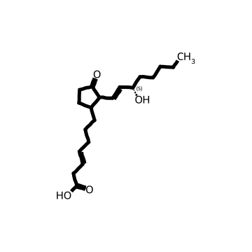 CCCCC[C@H](O)C=CC1C(=O)CCC1CCCC=CCC(=O)O